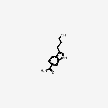 NC(=O)c1ccc2c(C[CH]CO)c[nH]c2c1